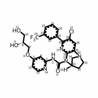 O=C(Nc1cc(OC[C@H](O)CO)ccn1)N1c2nc(-c3cccc(C(F)(F)F)c3)c(Cl)cc2N2CC[C@H]1C2